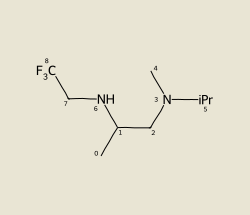 CC(CN(C)C(C)C)NCC(F)(F)F